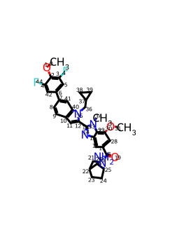 COc1c(F)cc(-c2ccc3cc(-c4nc5cc(C(=O)N6CC7CCC6C7N)cc(OC)c5n4C)n(CC4CC4)c3c2)cc1F